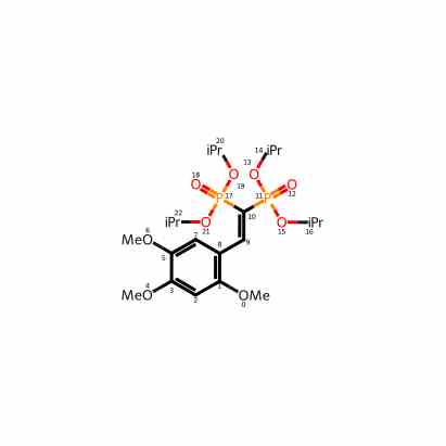 COc1cc(OC)c(OC)cc1C=C(P(=O)(OC(C)C)OC(C)C)P(=O)(OC(C)C)OC(C)C